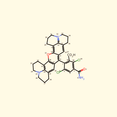 NC(=O)c1cc(Cl)c(C2=c3cc4c5c(c3Oc3c2cc2c6c3CCCN6CCC2)CCC[N+]=5CCC4)c(C(=O)O)c1Cl